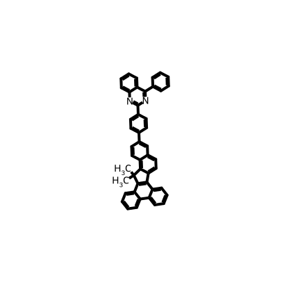 CC1(C)c2c(ccc3cc(-c4ccc(-c5nc(-c6ccccc6)c6ccccc6n5)cc4)ccc23)-c2c1c1ccccc1c1ccccc21